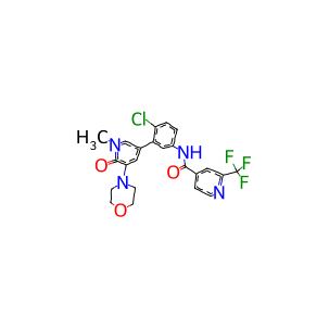 Cn1cc(-c2cc(NC(=O)c3ccnc(C(F)(F)F)c3)ccc2Cl)cc(N2CCOCC2)c1=O